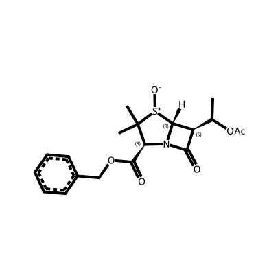 CC(=O)OC(C)[C@H]1C(=O)N2[C@@H]1[S+]([O-])C(C)(C)[C@@H]2C(=O)OCc1ccccc1